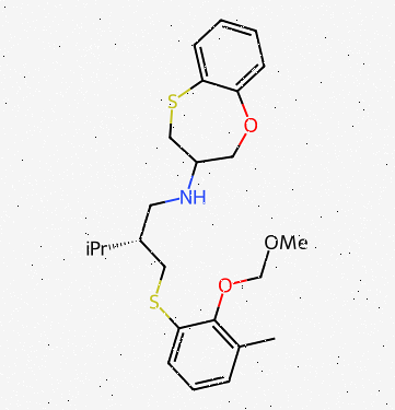 COCOc1c(C)cccc1SC[C@@H](CNC1COc2ccccc2SC1)C(C)C